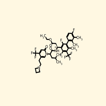 CCOC(=O)C[C@H](NC(=O)C(CC(C)C)n1cc(CCN2CCC2)c(C(F)(F)F)cc1=O)c1c(F)c(-c2ccc(F)c(C)c2C)c(C)c(C(F)(F)F)c1F